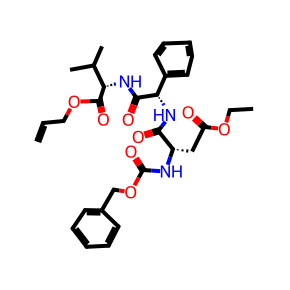 C=CCOC(=O)[C@@H](NC(=O)[C@@H](NC(=O)[C@H](CC(=O)OCC)NC(=O)OCc1ccccc1)c1ccccc1)C(C)C